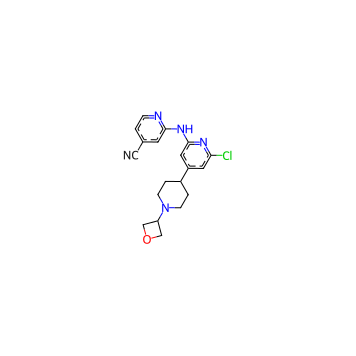 N#Cc1ccnc(Nc2cc(C3CCN(C4COC4)CC3)cc(Cl)n2)c1